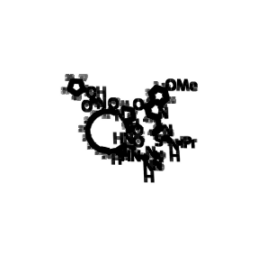 COc1ccc2c(O[C@@H]3C[C@H]4C(=O)N[C@]5(C(=O)Nc6nnn[nH]6)C[C@H]5/C=C\CCCCC[C@H](NC(=O)OC5CCCC5)C(=O)N4C3)cc(-c3csc(NC(C)C)n3)nc2c1